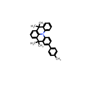 Cc1ccc(-c2ccc3c(c2)C(C)(C)c2cccc4c2N3c2ccccc2C4(C)C)cc1